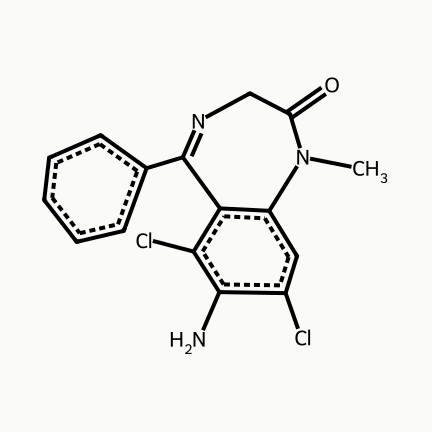 CN1C(=O)CN=C(c2ccccc2)c2c1cc(Cl)c(N)c2Cl